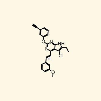 C#Cc1cccc(Oc2nc(/C=C/c3cccc(OC)c3)c3c(Cl)c(CC)[nH]c3n2)c1